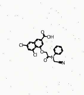 N#CCN(C(=O)COc1cc(C(=O)O)cc2cc(Cl)cc(Cl)c12)c1ccccc1